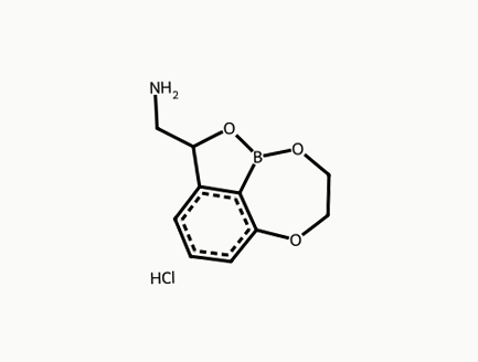 Cl.NCC1OB2OCCOc3cccc1c32